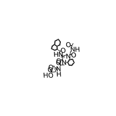 CC(=O)NCC(=O)N1C[C@H](NC(=O)c2cccc3ccccc23)C(=O)N(CC(=O)N[C@H](C=O)CC(=O)O)c2ccccc21